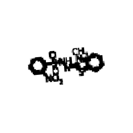 Cn1c(=NNS(=O)(=O)c2ccccc2[N+](=O)[O-])sc2ccccc21